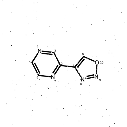 C1=C(c2cnccn2)[N+]=NO1